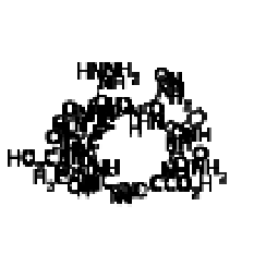 C[C@@H](O)[C@@H]1NC(=O)[C@@H]2Cc3cn(nn3)CCC[C@H](C(=O)O)NC(=O)[C@H](CCC(N)=O)NC(=O)C(Cc3c[nH]c4ccccc34)NC(=O)[C@H](CCCNC(N)=O)NC(=O)[C@H](CSSCC(NC(=O)CN)C(=O)N2)NC(=O)[C@H](CCCNC(=N)N)NC(=O)C2CCCN2C(=O)[C@H](CC(=O)O)NC1=O